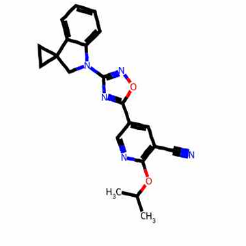 CC(C)Oc1ncc(-c2nc(N3CC4(CC4)c4ccccc43)no2)cc1C#N